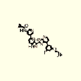 CN(C)CCOc1cc(F)cc(-c2ccnc3[nH]c(-c4n[nH]c5ccc(-c6cncc(NC(=O)C7CC7)c6)nc45)nc23)c1